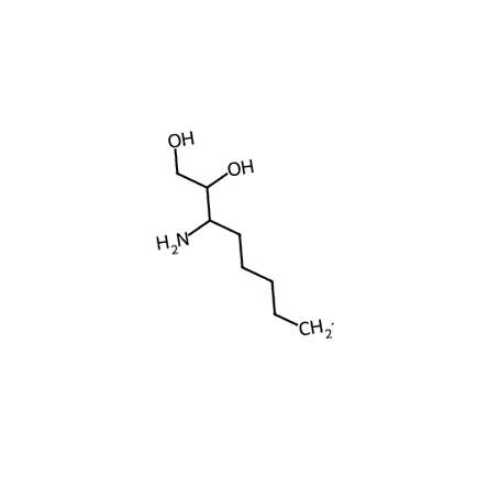 [CH2]CCCCC(N)C(O)CO